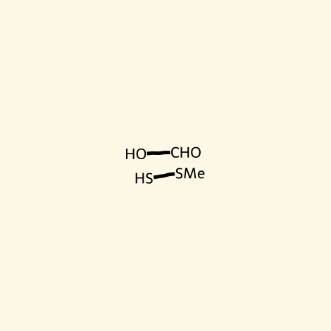 CSS.O=CO